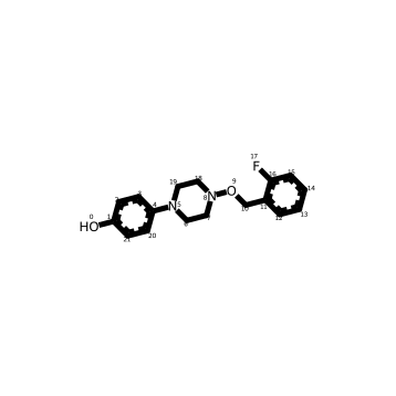 Oc1ccc(N2CCN(OCc3ccccc3F)CC2)cc1